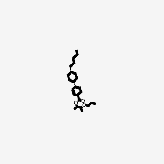 CCCCC[C@H]1CC[C@H](c2ccc(C(=O)OC(C)C(C)OCCC)cc2)CC1